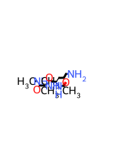 CNC(=O)C(C)(C)NC(=O)[C@@H](CCCN)NC(C)=O